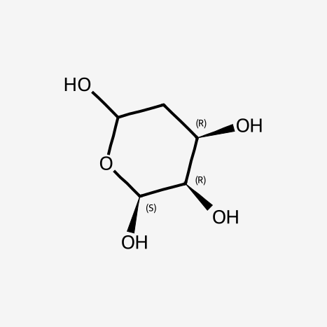 OC1C[C@@H](O)[C@@H](O)[C@@H](O)O1